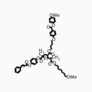 CCC(C)(CC(CC(C)C(=O)OCCCCCCCOC)C(=O)OCCCCOc1ccc(C(=O)Oc2ccc(OC)cc2)cc1)C(=O)Oc1ccc(OC(=O)/C=C/c2ccccc2)cc1